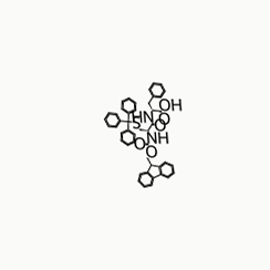 O=C(N[C@@H](CSC(c1ccccc1)(c1ccccc1)c1ccccc1)C(=O)N[C@@H](Cc1ccccc1)C(=O)O)OCC1c2ccccc2-c2ccccc21